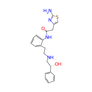 Nc1nc(CC(=O)Nc2ccccc2CCNC[C@H](O)c2ccccc2)cs1